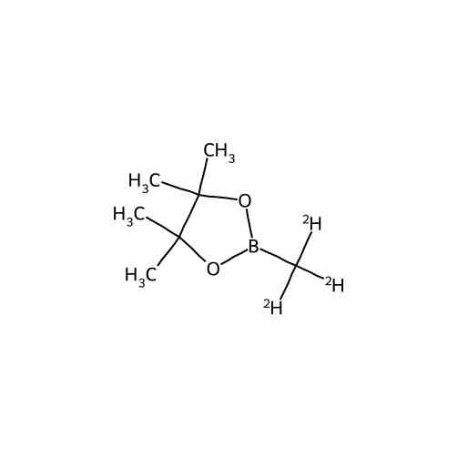 [2H]C([2H])([2H])B1OC(C)(C)C(C)(C)O1